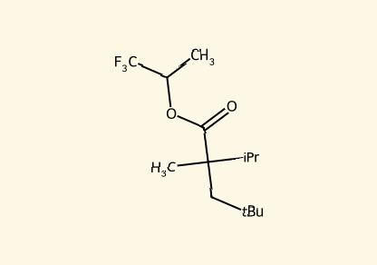 CC(OC(=O)C(C)(CC(C)(C)C)C(C)C)C(F)(F)F